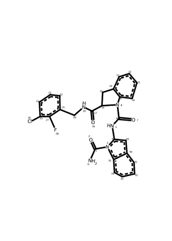 NC(=O)n1c(NC(=O)N2c3ccccc3CC2C(=O)NCc2cccc(Cl)c2F)cc2ccccc21